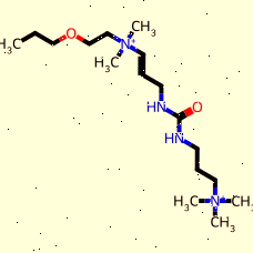 CCCOCC[N+](C)(C)/C=C/CNC(=O)NCCC[N+](C)(C)C